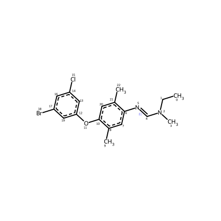 CCN(C)/C=N/c1cc(C)c(Oc2cc(Cl)cc(Br)c2)cc1C